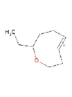 CCC1CC/C=C/CCO1